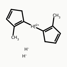 CC1=[C]([Hf+2][C]2=C(C)C=CC2)CC=C1.[H-].[H-]